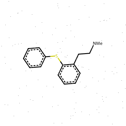 CNCCc1ccccc1Sc1ccccc1